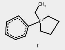 CC[P+]1(c2ccccc2)CCCC1.[I-]